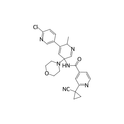 CC1N=CC(NC(=O)c2ccnc(C3(C#N)CC3)c2)(N2CCOCC2)C=C1c1ccc(Cl)nc1